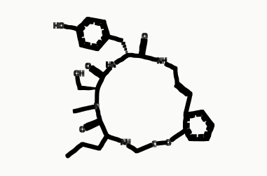 CCCC1NCCOc2ccccc2/C=C/CNC(=O)[C@@H](Cc2ccc(O)cc2)NC(=O)[C@H](CO)N(C)C1=O